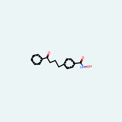 O=C(CCCc1ccc(C(=O)NO)cc1)c1ccccc1